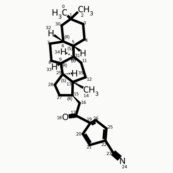 CC1(C)CC[C@H]2[C@H](CC[C@@H]3[C@@H]2CC[C@]2(C)[C@@H](CC(=O)c4ccc(C#N)cc4)CC[C@@H]32)C1